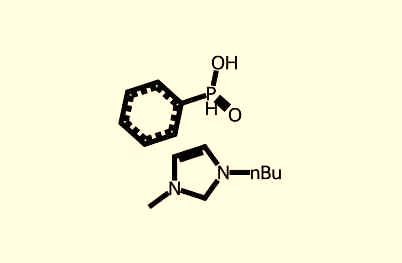 CCCCN1C=CN(C)C1.O=[PH](O)c1ccccc1